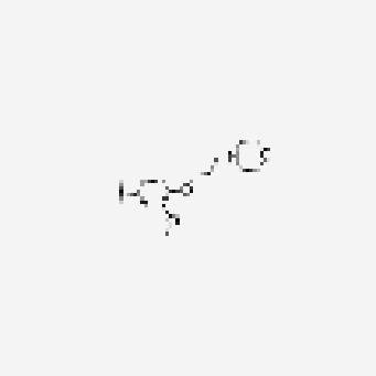 COc1cc(C(C)(C)C)ccc1OCCCN1CCOCC1